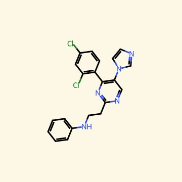 Clc1ccc(-c2nc(CCNc3ccccc3)ncc2-n2ccnc2)c(Cl)c1